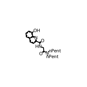 CCCCCN(CCCCC)C(=O)CNC(=O)c1ccc2cccc(O)c2n1